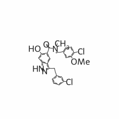 COc1cc(CN(C)C(=O)c2cc3c(Cc4cccc(Cl)c4)n[nH]c3cc2O)ccc1Cl